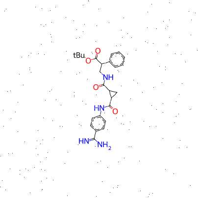 CC(C)(C)OC(=O)C(CNC(=O)C1CC1C(=O)Nc1ccc(C(=N)N)cc1)c1ccccc1